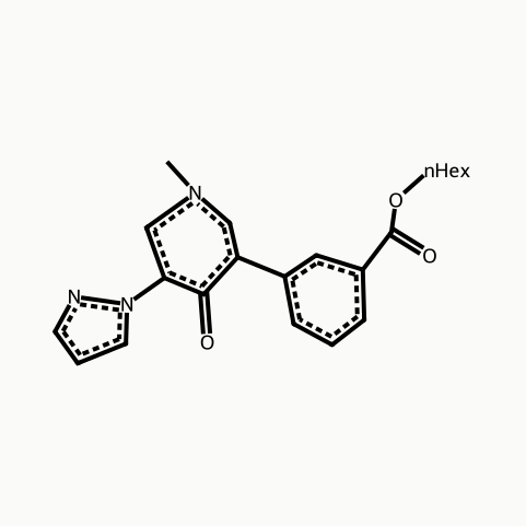 CCCCCCOC(=O)c1cccc(-c2cn(C)cc(-n3cccn3)c2=O)c1